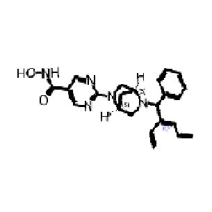 C=C/C=C(\C=C)C(c1ccccc1)N1C[C@@H]2C[C@H]1CN2c1ncc(C(=O)NO)cn1